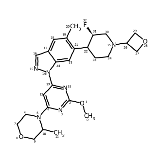 COc1nc(N2CCOCC2C)cc(-n2ncc3cc(C)c(C4CCN(C5COC5)C[C@@H]4F)cc32)n1